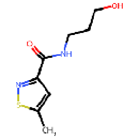 Cc1cc(C(=O)NCCCO)ns1